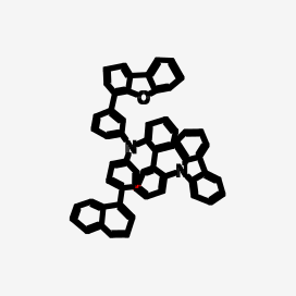 c1cc(-c2cccc3c2oc2ccccc23)cc(N(c2ccc(-c3cccc4ccccc34)cc2)c2ccccc2-c2ccccc2-n2c3ccccc3c3ccccc32)c1